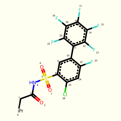 CC(C)CC(=O)NS(=O)(=O)c1cc(-c2c(F)c(F)c(F)c(F)c2F)c(F)cc1Cl